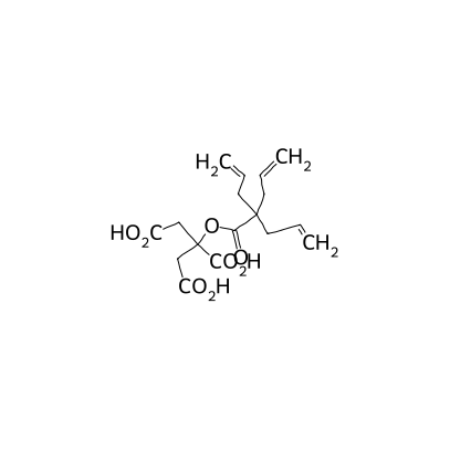 C=CCC(CC=C)(CC=C)C(=O)OC(CC(=O)O)(CC(=O)O)C(=O)O